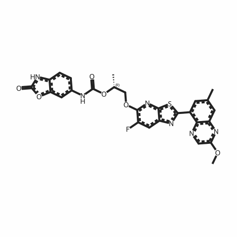 COc1cnc2c(-c3nc4cc(F)c(OC[C@@H](C)OC(=O)Nc5ccc6[nH]c(=O)oc6c5)nc4s3)cc(C)cc2n1